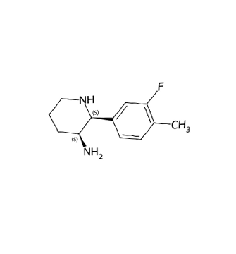 Cc1ccc([C@@H]2NCCC[C@@H]2N)cc1F